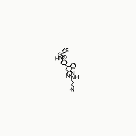 CN(C)CCCCNc1ncc2c(n1)-c1ccccc1C(c1ccc(NS(=O)(=O)c3ccsc3)cc1)C2